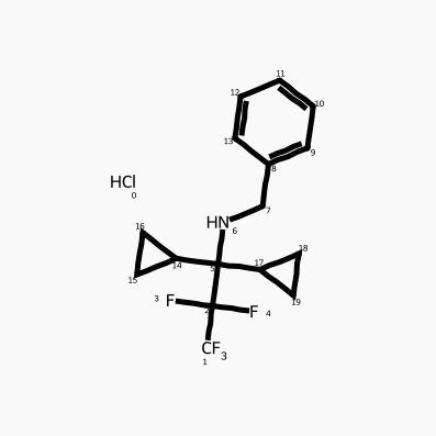 Cl.FC(F)(F)C(F)(F)C(NCc1ccccc1)(C1CC1)C1CC1